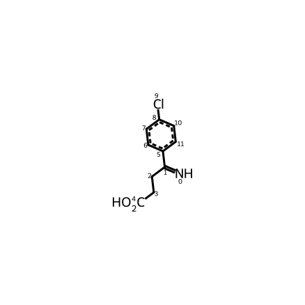 N=C(CCC(=O)O)c1ccc(Cl)cc1